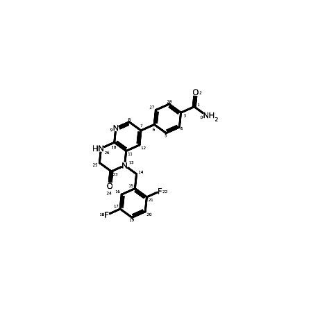 NC(=O)c1ccc(-c2cnc3c(c2)N(Cc2cc(F)ccc2F)C(=O)CN3)cc1